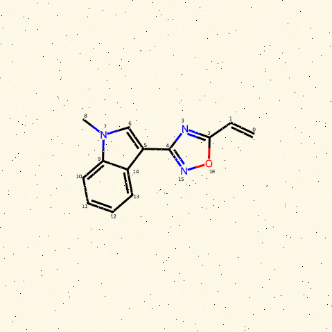 C=Cc1nc(-c2cn(C)c3ccccc23)no1